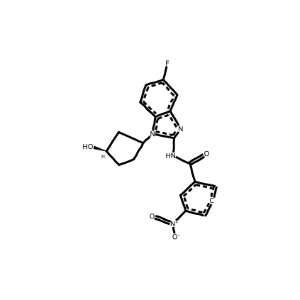 O=C(Nc1nc2cc(F)ccc2n1C1CC[C@@H](O)C1)c1cccc([N+](=O)[O-])c1